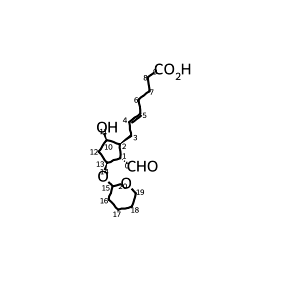 O=C[C@H]1[C@H](CC=CCCCC(=O)O)[C@H](O)C[C@@H]1OC1CCCCO1